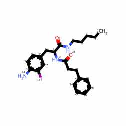 CCCCCNC(=O)C(Cc1ccc(N)c(I)c1)NC(=O)[CH]Cc1ccccc1